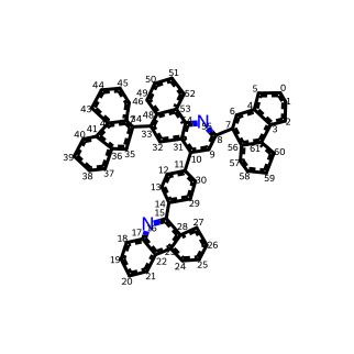 c1ccc2c(c1)cc(-c1cc(-c3ccc(-c4nc5ccccc5c5ccccc45)cc3)c3cc(-c4cc5ccccc5c5ccccc45)c4ccccc4c3n1)c1ccccc12